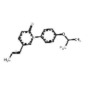 C/C=C/c1ccc(=O)n(-c2ccc(OC(C)C)cc2)c1